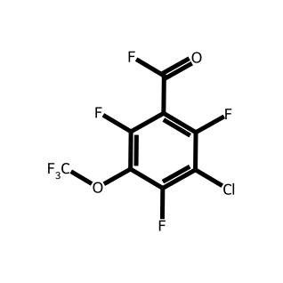 O=C(F)c1c(F)c(Cl)c(F)c(OC(F)(F)F)c1F